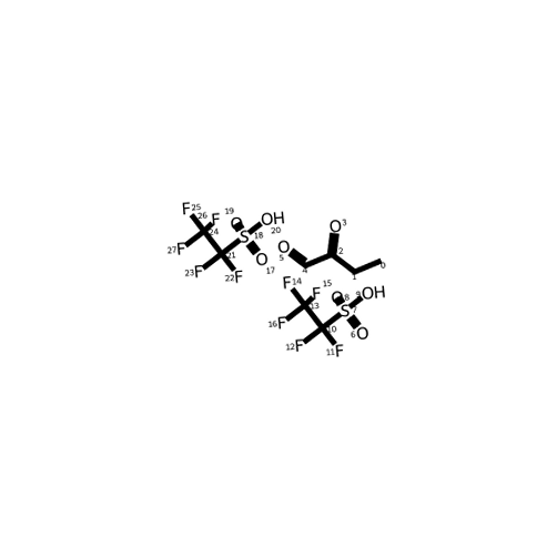 CCC(=O)C=O.O=S(=O)(O)C(F)(F)C(F)(F)F.O=S(=O)(O)C(F)(F)C(F)(F)F